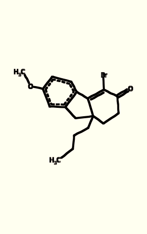 CCCCC12CCC(=O)C(Br)=C1c1ccc(OC)cc1C2